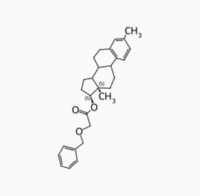 Cc1ccc2c(c1)CCC1C2CC[C@@]2(C)C1CC[C@@H]2OC(=O)COCc1ccccc1